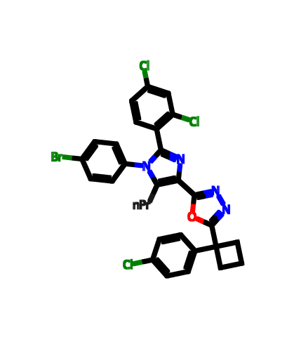 CCCc1c(-c2nnc(C3(c4ccc(Cl)cc4)CCC3)o2)nc(-c2ccc(Cl)cc2Cl)n1-c1ccc(Br)cc1